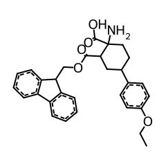 CCOc1ccc(C2CCC(N)(C(=O)O)C(C(=O)OCC3c4ccccc4-c4ccccc43)C2)cc1